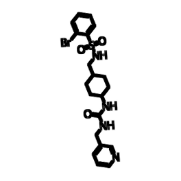 O=C(NCc1cccnc1)NC1CCC(CNS(=O)(=O)c2ccccc2Br)CC1